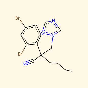 CCCCC(C#N)(Cn1cncn1)c1ccc(Br)cc1Br